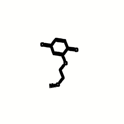 COCCOC1=CC(=O)C=CC1=O